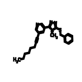 CCCCCCC#Cc1cncc(-c2nnc(SCc3ccccc3)n2C)c1